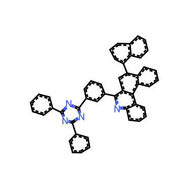 c1ccc(-c2nc(-c3ccccc3)nc(-c3cccc(-c4nc5ccccc5c5c4cc(-c4cccc6ccccc46)c4ccccc45)c3)n2)cc1